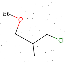 [CH2]COCC(C)CCl